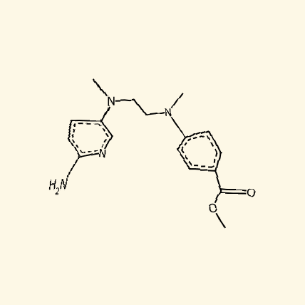 COC(=O)c1ccc(N(C)CCN(C)c2ccc(N)nc2)cc1